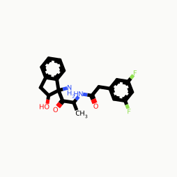 CC(NC(=O)Cc1cc(F)cc(F)c1)C(=O)C1(N)c2ccccc2CC1O